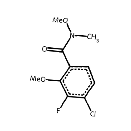 COc1c(C(=O)N(C)OC)ccc(Cl)c1F